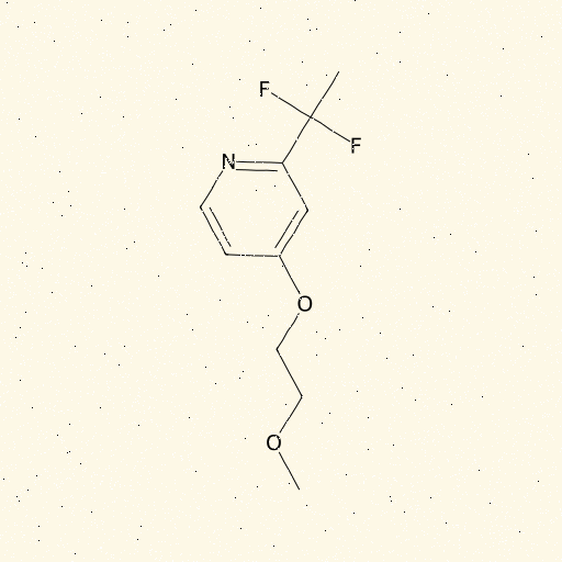 COCCOc1ccnc(C(C)(F)F)c1